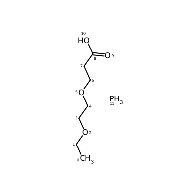 CCOCCOCCC(=O)O.P